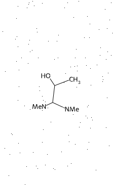 CNC(NC)C(C)O